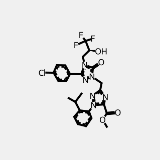 COC(=O)c1nc(Cn2nc(-c3ccc(Cl)cc3)n(C[C@H](O)C(F)(F)F)c2=O)nn1-c1ccccc1C(C)C